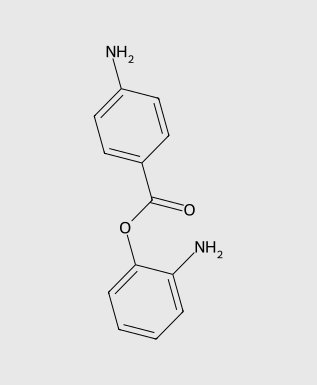 Nc1ccc(C(=O)Oc2ccccc2N)cc1